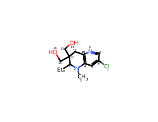 CCC1N(C)c2cc(Cl)cnc2CC1(CO)CO